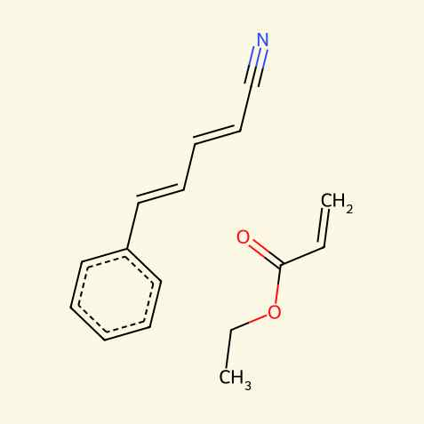 C=CC(=O)OCC.N#CC=CC=Cc1ccccc1